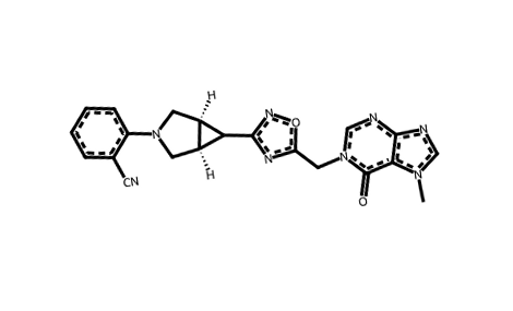 Cn1cnc2ncn(Cc3nc(C4[C@H]5CN(c6ccccc6C#N)C[C@@H]45)no3)c(=O)c21